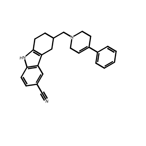 N#Cc1ccc2[nH]c3c(c2c1)CC(CN1CC=C(c2ccccc2)CC1)CC3